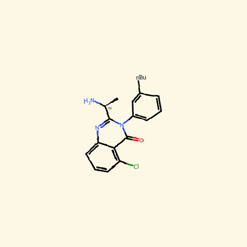 CCCCc1cccc(-n2c([C@H](C)N)nc3cccc(Cl)c3c2=O)c1